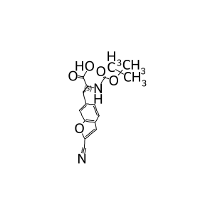 CC(C)(C)OC(=O)N[C@@H](Cc1ccc2cc(C#N)oc2c1)C(=O)O